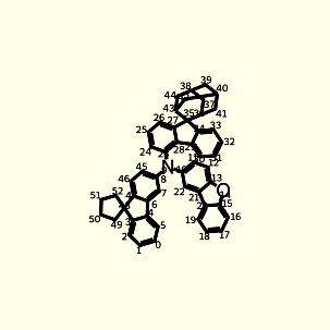 c1ccc2c(c1)-c1cc(N(c3ccc4oc5ccccc5c4c3)c3cccc4c3-c3ccccc3C43C4CC5CC(C4)CC3C5)ccc1C21CCCC1